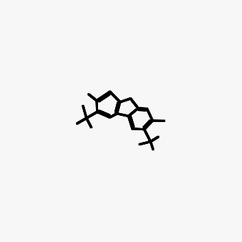 Cc1cc2c(cc1C(C)(C)C)-c1cc(C(C)(C)C)c(C)cc1C2